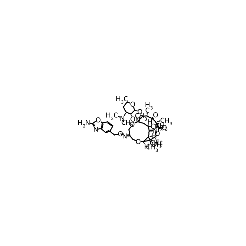 CC[C@H]1OC(=O)[C@H](C)C(=O)[C@H](C)[C@@H](O[C@@H]2O[C@H](C)C[C@H](N(C)C)[C@H]2O)[C@@]2(C)C[C@@H](C)/C(=N\C)[C@H](C)[C@@H](OCC(=NOCc3ccc4oc(N)nc4c3)CO2)[C@]1(C)O